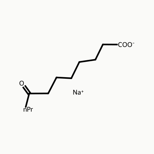 CCCC(=O)CCCCCCC(=O)[O-].[Na+]